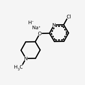 CN1CCC(Oc2cccc(Cl)n2)CC1.[H-].[Na+]